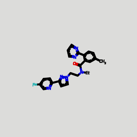 CCN(CCn1ccc(-c2ccc(F)cn2)n1)C(=O)c1cc(C)ccc1-c1ncccn1